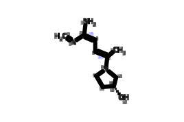 C=N/C(N)=C\C=C(/C)N1CC[C@@H](O)C1